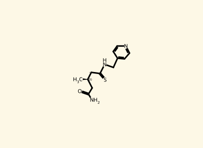 C[C@@H]([CH]C(=S)NCc1ccncc1)CC(N)=O